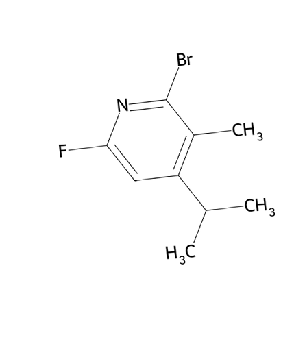 Cc1c(C(C)C)cc(F)nc1Br